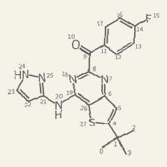 CC(C)(C)c1cc2nc(C(=O)c3ccc(F)cc3)nc(Nc3cc[nH]n3)c2s1